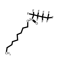 CCCCCCCCC[O][Sn](=[O])[C](F)(F)C(F)(F)C(F)(F)C(F)(F)F